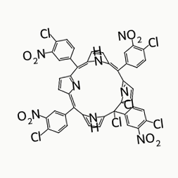 O=[N+]([O-])c1cc(C2=C3C=CC(=N3)C(c3ccc(Cl)c([N+](=O)[O-])c3)=c3ccc([nH]3)=C(c3ccc(Cl)c([N+](=O)[O-])c3)C3=NC(Cl)(C=C3)C(Cl)(c3ccc(Cl)c([N+](=O)[O-])c3)c3ccc2[nH]3)ccc1Cl